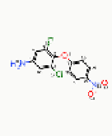 Nc1cc(Cl)c(Oc2ccc([N+](=O)[O-])cc2)c(Cl)c1